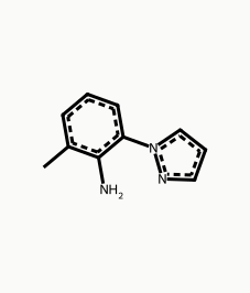 Cc1cccc(-n2cccn2)c1N